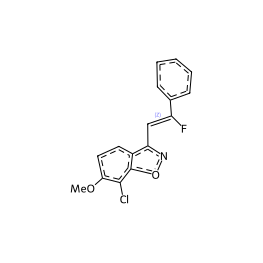 COc1ccc2c(/C=C(\F)c3ccccc3)noc2c1Cl